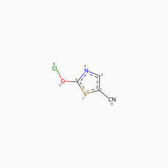 N#Cc1cnc(OCl)s1